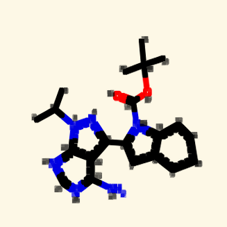 CC(C)n1nc(-c2cc3ccccc3n2C(=O)OC(C)(C)C)c2c(N)ncnc21